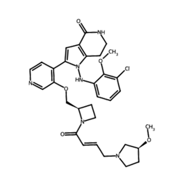 COc1c(Cl)cccc1Nn1c(-c2ccncc2OC[C@H]2CCN2C(=O)/C=C/CN2CC[C@H](OC)C2)cc2c1CCNC2=O